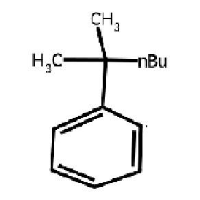 CCCCC(C)(C)c1[c]cccc1